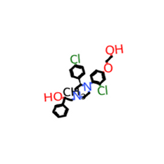 C[C@@](O)(CN1CCN(c2ccc(OCCO)cc2Cl)[C@H](c2ccc(Cl)cc2)C1)c1ccccc1